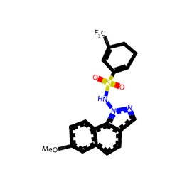 COc1ccc2c(ccc3cnn(NS(=O)(=O)C4=CCCC(C(F)(F)F)=C4)c32)c1